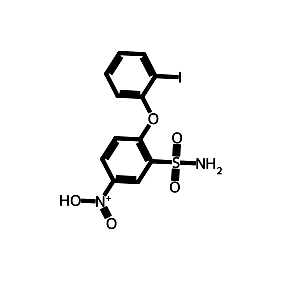 NS(=O)(=O)c1cc([N+](=O)O)ccc1Oc1ccccc1I